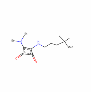 CCN(CC)c1c(NCCCC(C)(C)SC)c(=O)c1=O